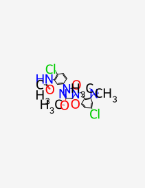 COc1nn(-c2ccc(Cl)c(NC(C)=O)c2)c(=O)n(Cc2ccc(Cl)cc2N(C)C)c1=O